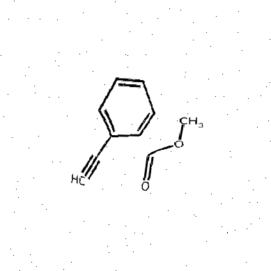 C#Cc1ccccc1.COC=O